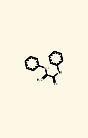 C=C(Nc1ccccc1)C(=C)Nc1ccccc1